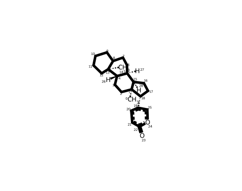 C[C@]12CC[C@H]3[C@@H](CCC4CCCC[C@@]43C)[C@H]1CC[C@@H]2c1ccc(=O)oc1